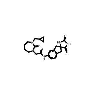 O=C(CN1CCCCN(CC2CC2)C1=O)Nc1ccc2c(c1)CC1(C2)NC(=O)NC1=O